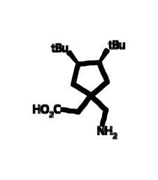 CC(C)(C)[C@@H]1CC(CN)(CC(=O)O)C[C@@H]1C(C)(C)C